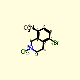 O=[N+]([O-])c1ccc(Br)c2c1CN(Cl)CC2